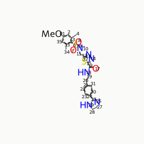 COc1cc(C)c(S(=O)(=O)N(C)Cc2nnc(C(=O)NCCc3ccc(C4=NCCN4)cc3)s2)c(C)c1